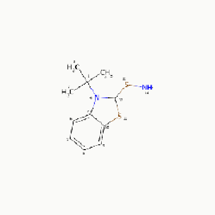 CC(C)(C)N1c2ccccc2SC1S[NH]